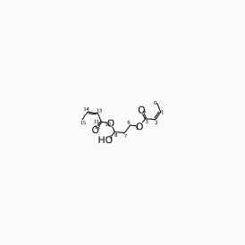 C/C=C\C(=O)OCCC(O)OC(=O)/C=C\C